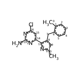 Cc1ccccc1Cc1cn(C)nc1-c1cc(Cl)nc(N)n1